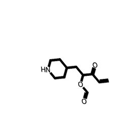 C=CC(=O)C(CC1CCNCC1)OC=O